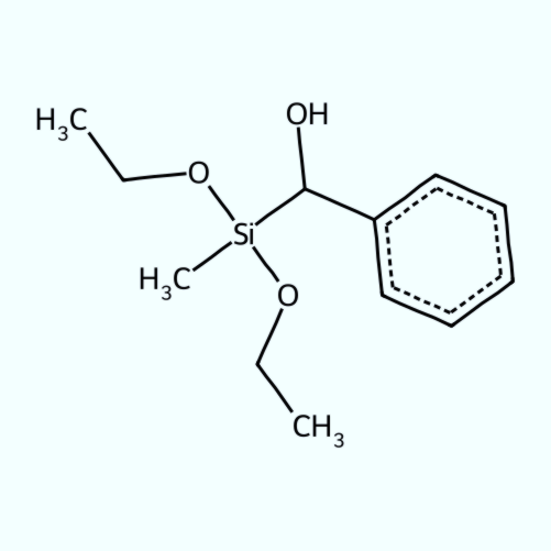 CCO[Si](C)(OCC)C(O)c1ccccc1